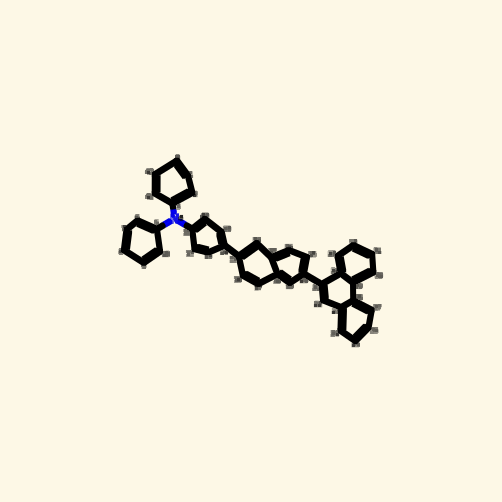 c1ccc(N(c2ccccc2)c2ccc(-c3ccc4cc(-c5cc6ccccc6c6ccccc56)ccc4c3)cc2)cc1